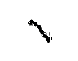 Cc1cc(N=Nc2cc(C)c(N=Nc3ccc4cc(NOc5ccccc5)ccc4c3O)cc2C)c(C)cc1N=Nc1cc(C)c(N=Nc2ccccc2S(=O)(=O)O)cc1C